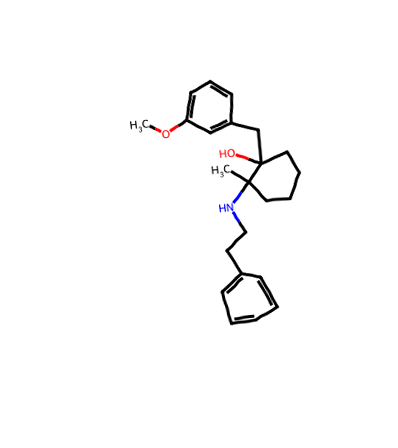 COc1cccc(CC2(O)CCCCC2(C)NCCc2ccccc2)c1